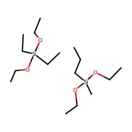 CCC[Si](C)(OCC)OCC.CCO[Si](CC)(CC)OCC